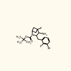 CC(C)(C)OC(=O)N1C2CC(F)(C2)C(N)C1Cc1cccc(Br)c1F